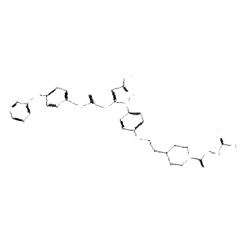 CC(C)(C)c1cc(NC(=O)Nc2ccc(Oc3cccnc3)cc2)n(-c2ccc(OCCC3CCN(C(=O)ONC(N)=O)CC3)cc2)n1